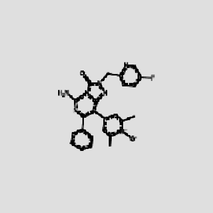 Cc1cc(-c2c(-c3ccccc3)nc(N)n3c(=O)n(Cc4ccc(F)cn4)nc23)cc(C)[n+]1[O-]